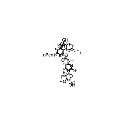 C=C(C)C1CCC(C)=CC1c1c(O)cc(CCCCC)cc1OC(=O)Nc1ccn([C@@H]2O[C@H](CO)[C@H](O)C2(F)F)c(=O)n1